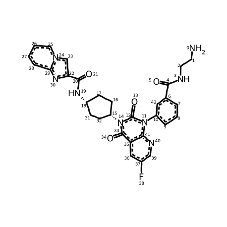 NCCNC(=O)c1cccc(-n2c(=O)n([C@H]3CC[C@@H](NC(=O)c4cn5ccccc5n4)CC3)c(=O)c3cc(F)cnc32)c1